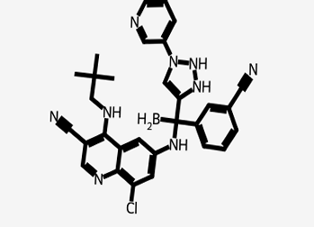 BC(Nc1cc(Cl)c2ncc(C#N)c(NCC(C)(C)C)c2c1)(C1=CN(c2cccnc2)NN1)c1cccc(C#N)c1